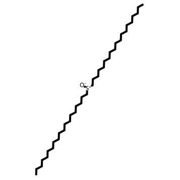 CCCCCCCCCCCCCCCCCCC[S+]([O-])CCCCCCCCCCCCCCCCCCC